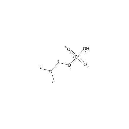 CC(C)C[O][Cr](=[O])(=[O])[OH]